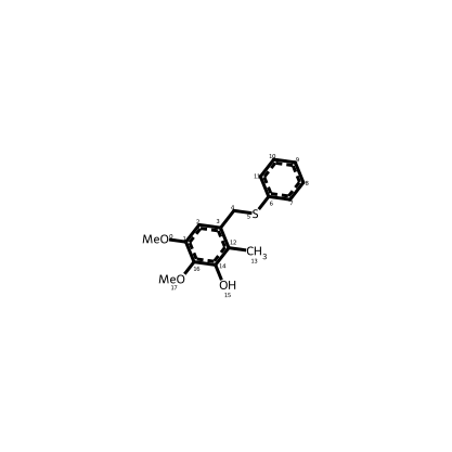 COc1cc(CSc2ccccc2)c(C)c(O)c1OC